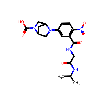 CC(C)NC(=O)CNC(=O)c1cc(N2CC3CC2CN3C(=O)O)ccc1[N+](=O)[O-]